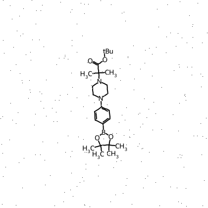 CC(C)(C)OC(=O)C(C)(C)N1CCN(c2ccc(B3OC(C)(C)C(C)(C)O3)cc2)CC1